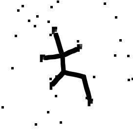 FCC(I)C(F)(F)F